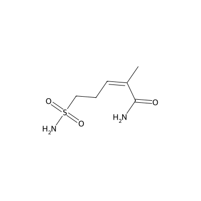 CC(=CCCS(N)(=O)=O)C(N)=O